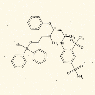 C[C@H](C[C@H](Sc1ccccc1)N(C)CCO[Si](c1ccccc1)(c1ccccc1)C(C)(C)C)Nc1ccc(S(N)(=O)=O)cc1S(=O)(=O)C(F)(F)F